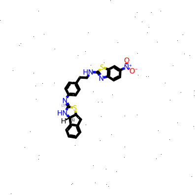 O=[N+]([O-])c1ccc2nc(NCCc3ccc(/N=C4/N[C@H]5c6ccccc6CC5S4)cc3)sc2c1